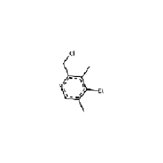 CCc1c(C)cnc(CCl)c1C